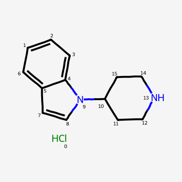 Cl.c1ccc2c(c1)ccn2C1CCNCC1